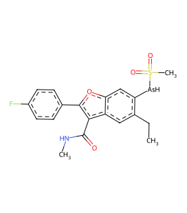 CCc1cc2c(C(=O)NC)c(-c3ccc(F)cc3)oc2cc1[AsH]S(C)(=O)=O